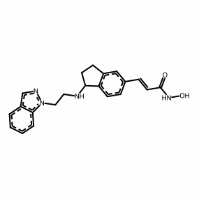 O=C(/C=C/c1ccc2c(c1)CCC2NCCn1ncc2ccccc21)NO